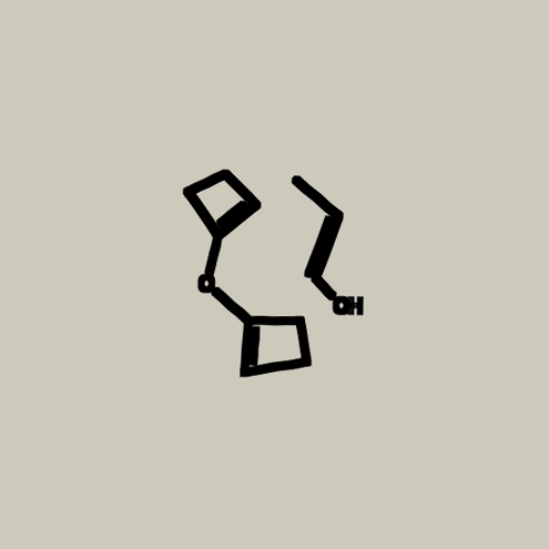 C1=C(OC2=CCC2)CC1.CC=CO